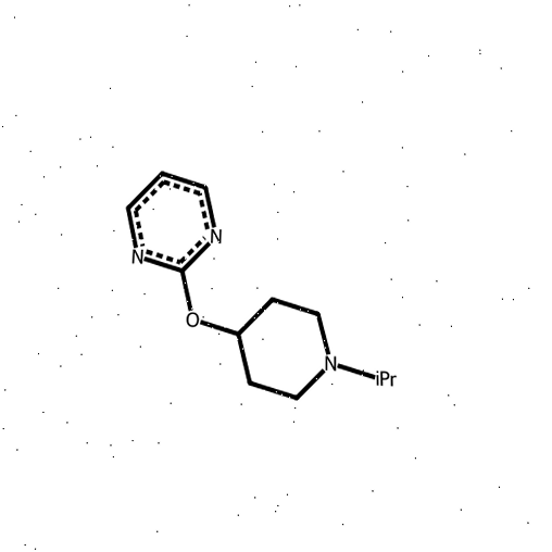 CC(C)N1CCC(Oc2ncccn2)CC1